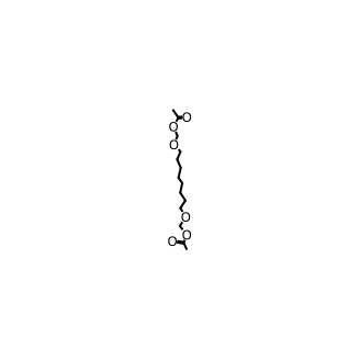 CC(=O)OCOCCCCCCCCOCOC(C)=O